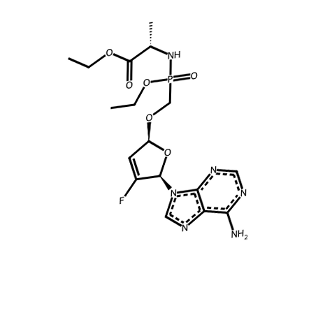 CCOC(=O)[C@H](C)NP(=O)(CO[C@@H]1C=C(F)[C@H](n2cnc3c(N)ncnc32)O1)OCC